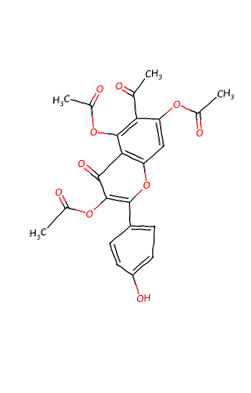 CC(=O)Oc1cc2oc(-c3ccc(O)cc3)c(OC(C)=O)c(=O)c2c(OC(C)=O)c1C(C)=O